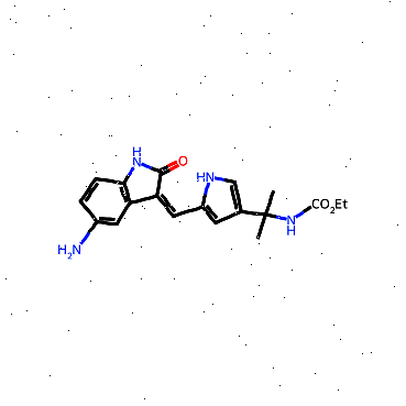 CCOC(=O)NC(C)(C)c1c[nH]c(C=C2C(=O)Nc3ccc(N)cc32)c1